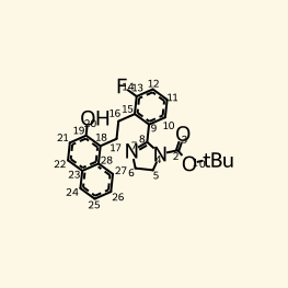 CC(C)(C)OC(=O)N1CCN=C1c1cccc(F)c1CCc1c(O)ccc2ccccc12